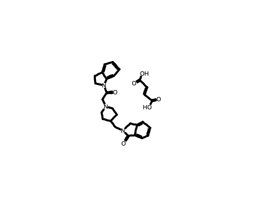 O=C(O)/C=C/C(=O)O.O=C1c2ccccc2CN1CC1CCN(CC(=O)N2CCc3ccccc32)CC1